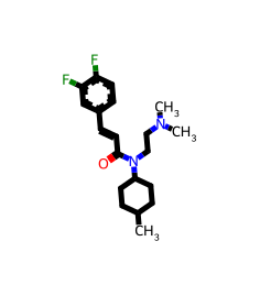 CC1CCC(N(CCN(C)C)C(=O)C=Cc2ccc(F)c(F)c2)CC1